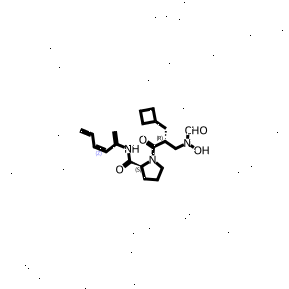 C=C/C=C\C(=C)NC(=O)[C@@H]1CCCN1C(=O)[C@H](CC1CCC1)CN(O)C=O